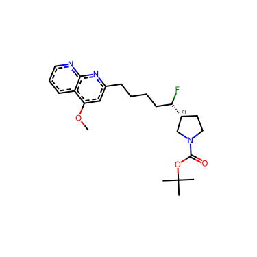 COc1cc(CCCCC(F)[C@@H]2CCN(C(=O)OC(C)(C)C)C2)nc2ncccc12